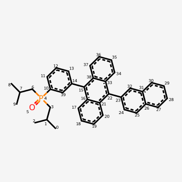 CC(C)CP(=O)(CC(C)C)c1cccc(-c2c3ccccc3c(-c3ccc4ccccc4c3)c3ccccc23)c1